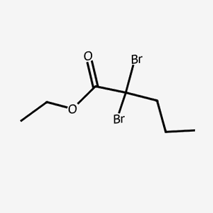 CCCC(Br)(Br)C(=O)OCC